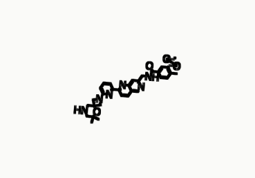 Cc1ccc(C(=O)NCc2cc3nc(-c4cccc(N5CC6(CNCC(C)(C)O6)C5)n4)ccc3cn2)cc1S(C)(=O)=O